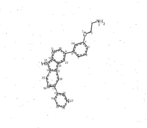 NCCOc1cccc(-c2cnc3[nH]c4cnc(-c5cccnc5)cc4c3c2)c1